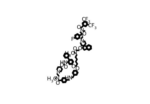 CN(CCCCCC(=O)Oc1ccc(CNCc2ccc(C(=O)N(C)CCN3CCC(OC(=O)Nc4ccccc4-c4ccccc4)CC3)cc2)cc1)C(=O)CO[C@H]1Cc2ccccc2C12CCN(CC[C@]1(c3ccc(F)cc3)CN(C(=O)c3cc(C(F)(F)F)cc(C(F)(F)F)c3)CO1)CC2